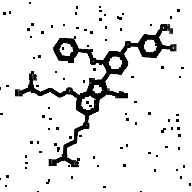 CCCCn1c(-c2ccc(Oc3ccc(Cl)c(C)c3)cc2OCc2ccccn2)nc2c(OCCCN(CC)CC)cc(OCCCN(CC)CC)cc21